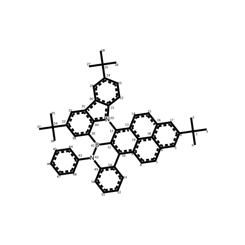 CC(C)(C)c1cc2ccc3c4c5c(c6ccc(c1)c2c36)-n1c2ccc(C(C)(C)C)cc2c2cc(C(C)(C)C)cc(c21)B5N(c1ccccc1)c1ccccc1-4